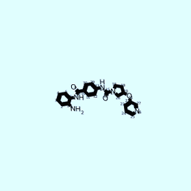 Nc1ccccc1NC(=O)c1ccc(NC(=O)N2CCC(Oc3cccnc3)C2)cc1